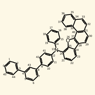 c1ccc(-c2cccc(-c3ccc(N(c4ccccc4)c4cccc5c4oc4c5ccc5ccc6ccccc6c54)cc3)c2)cc1